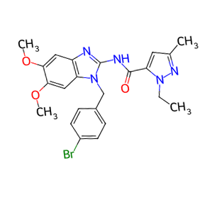 CCn1nc(C)cc1C(=O)Nc1nc2cc(OC)c(OC)cc2n1Cc1ccc(Br)cc1